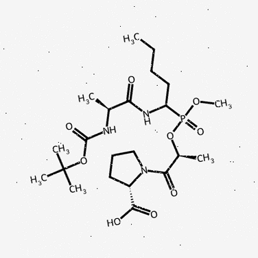 CCCCC(NC(=O)[C@H](C)NC(=O)OC(C)(C)C)P(=O)(OC)O[C@@H](C)C(=O)N1CCC[C@H]1C(=O)O